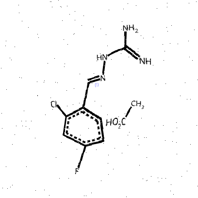 CC(=O)O.N=C(N)N/N=C/c1ccc(F)cc1Cl